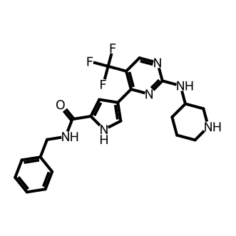 O=C(NCc1ccccc1)c1cc(-c2nc(NC3CCCNC3)ncc2C(F)(F)F)c[nH]1